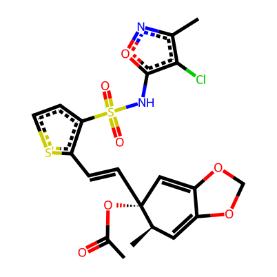 CC(=O)O[C@]1(C=Cc2sccc2S(=O)(=O)Nc2onc(C)c2Cl)C=C2OCOC2=C[C@H]1C